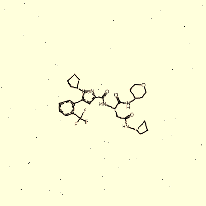 O=C(C[C@@H](NC(=O)c1cc(-c2ccccc2C(F)(F)F)n(C2CCCC2)n1)C(=O)NC1CCOCC1)NC1CCC1